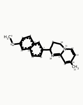 COc1ccc2cc(C3[C]CN4C=CC(C)=CC4=N3)ccc2c1